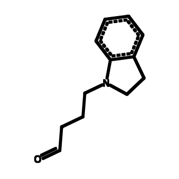 O=CCCCN1CCc2ccccc21